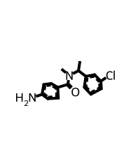 CC(c1cccc(Cl)c1)N(C)C(=O)c1ccc(N)cc1